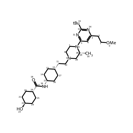 COCCc1cc(N2CCN(CC[C@H]3CC[C@@H](NC(=O)[C@H]4CC[C@H](O)CC4)CC3)C[C@H]2C)nc(C(C)(C)C)n1